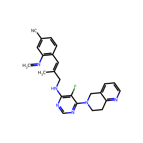 C=Nc1cc(C#N)ccc1/C=C(\C)CNc1ncnc(N2CCc3ncccc3C2)c1F